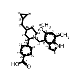 COc1cc(C)c2[nH]ccc2c1CN1CCC(CC2CC2)CC1c1ccc(C(=O)O)cc1